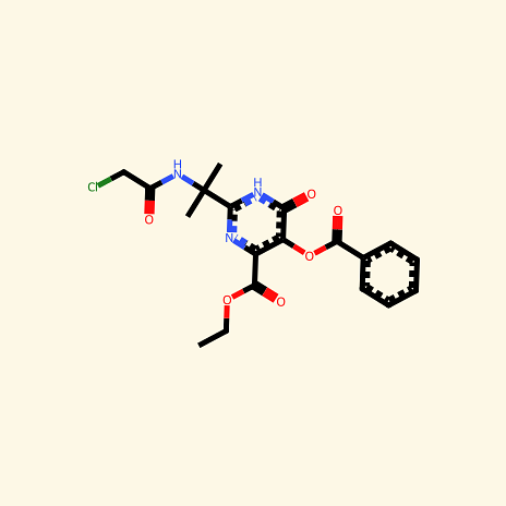 CCOC(=O)c1nc(C(C)(C)NC(=O)CCl)[nH]c(=O)c1OC(=O)c1ccccc1